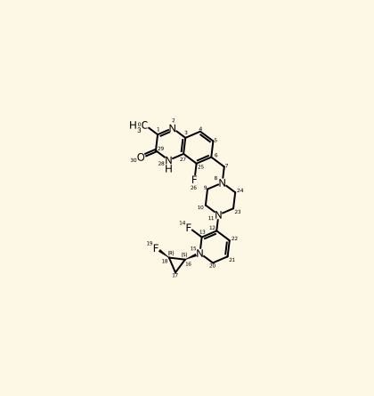 Cc1nc2ccc(CN3CCN(C4=C(F)N([C@H]5C[C@H]5F)CC=C4)CC3)c(F)c2[nH]c1=O